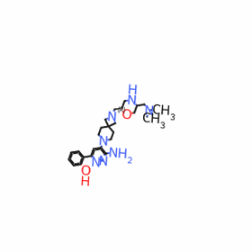 CN(C)CC1CO[C@@H](CN2CC3(CCN(c4cc(-c5ccccc5O)nnc4N)CC3)C2)CN1